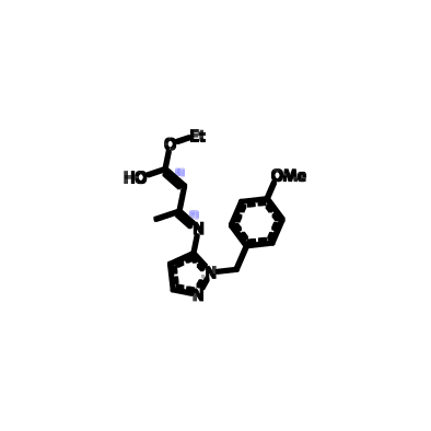 CCO/C(O)=C/C(C)=N/c1ccnn1Cc1ccc(OC)cc1